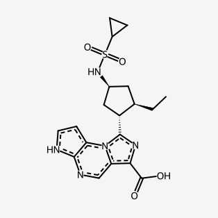 CC[C@@H]1C[C@H](NS(=O)(=O)C2CC2)C[C@H]1c1nc(C(=O)O)c2cnc3[nH]ccc3n12